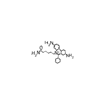 NC(=O)CCCCC[n+]1c(-c2ccccc2)c2cc(N)ccc2c2ccc(N)cc21